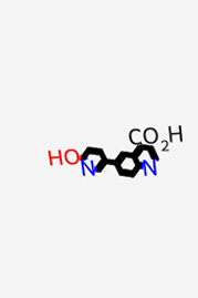 O=C(O)c1ccnc2ccc(-c3ccc(O)nc3)cc12